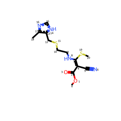 COC(=O)C(C#N)=C(NCCSCc1[nH]cnc1C)SC